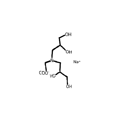 O=C([O-])CN(CC(O)CO)CC(O)CO.[Na+]